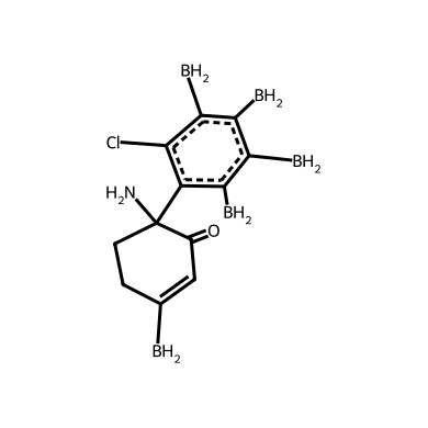 BC1=CC(=O)C(N)(c2c(B)c(B)c(B)c(B)c2Cl)CC1